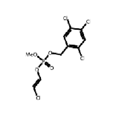 COP(=O)(OC=CCl)OCc1cc(Cl)c(Cl)cc1Cl